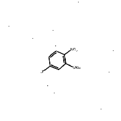 CSc1cc(Cl)ccc1[N+](=O)[O-]